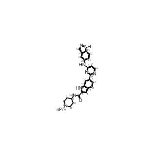 CCCN1CCC(NC(=O)c2cc3ccc(-c4nccc(Nc5ccc6[nH]ncc6c5)n4)cc3[nH]2)CC1